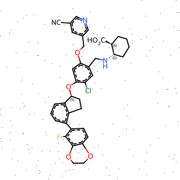 N#Cc1cncc(COc2cc(O[C@H]3CCc4c(-c5ccc6c(c5F)OCCO6)cccc43)c(Cl)cc2CN[C@H]2CCCC[C@@H]2C(=O)O)c1